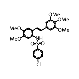 COc1cc(C=Cc2cc(OC)c(OC)c(OC)c2)c(NS(=O)(=O)c2ccc(Cl)cc2)cc1OC